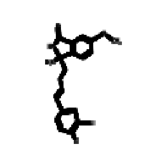 COc1ccc2c(c1)C(=O)NC2(C)CCC=Cc1ccc(Cl)c(Cl)c1